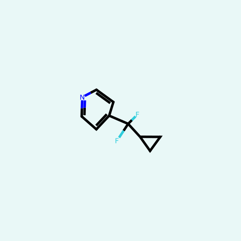 FC(F)(c1ccncc1)C1CC1